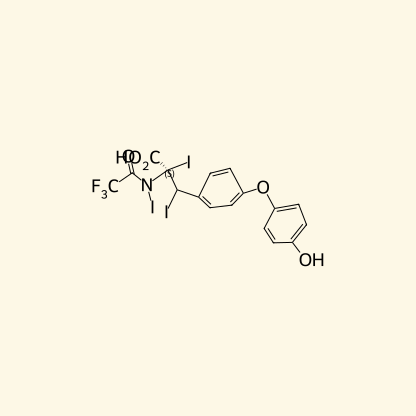 O=C(N(I)[C@](I)(C(=O)O)C(I)c1ccc(Oc2ccc(O)cc2)cc1)C(F)(F)F